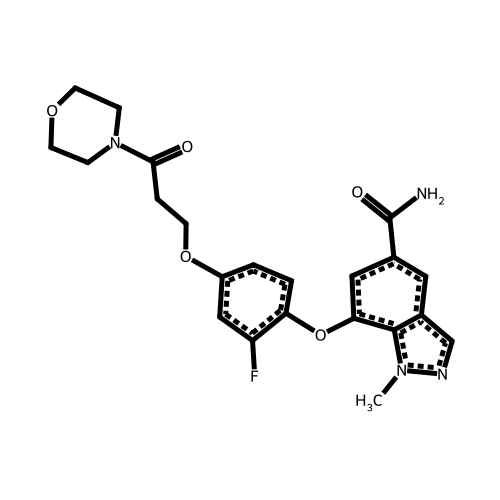 Cn1ncc2cc(C(N)=O)cc(Oc3ccc(OCCC(=O)N4CCOCC4)cc3F)c21